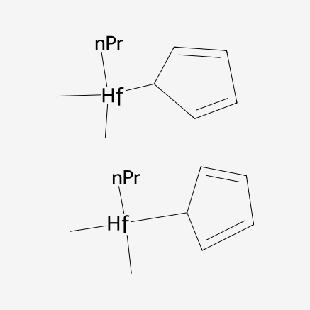 CC[CH2][Hf]([CH3])([CH3])[CH]1C=CC=C1.CC[CH2][Hf]([CH3])([CH3])[CH]1C=CC=C1